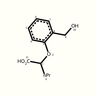 CCCC(Oc1ccccc1CO)C(=O)O